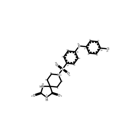 O=C1NC(=O)C2(CCN(S(=O)(=O)c3ccc(Oc4ccc(Cl)cc4)cc3)CC2)N1